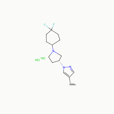 CNc1cnn([C@@H]2CCN(C3CCC(F)(F)CC3)C2)c1.Cl.Cl